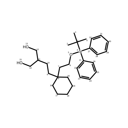 CC(C)(C)[Si](OCCC1(CCC(CO)CO)CCCCC1)(c1ccccc1)c1ccccc1